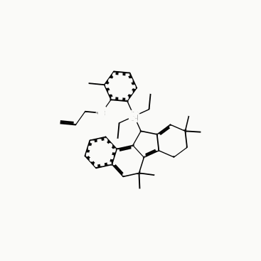 C=CCOc1c(C)cccc1[Si](CC)(CC)C1C2=CC(C)(C)CCC2=C2C1=c1ccccc1=CC2(C)C